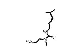 CC(C)CCCNC(=O)N(C)CCO